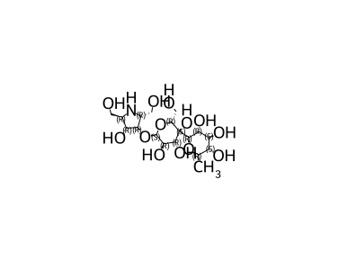 C[C@H]1O[C@@H]([C@]2(O)[C@H](O)[C@@H](O)[C@@H](O[C@H]3[C@H](O)[C@@H](CO)N[C@@H]3CO)O[C@@H]2CO)[C@H](O)[C@@H](O)[C@@H]1O